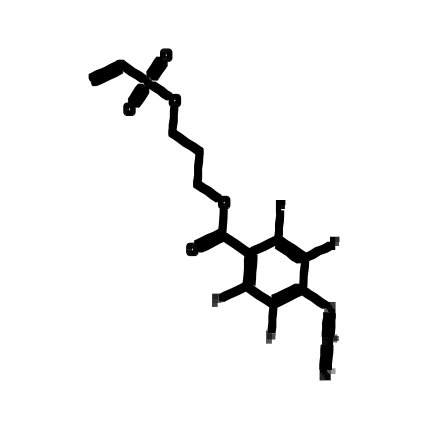 C=CS(=O)(=O)OCCCOC(=O)c1c(F)c(F)c(N=[N+]=[N-])c(F)c1F